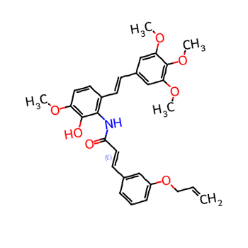 C=CCOc1cccc(/C=C/C(=O)Nc2c(C=Cc3cc(OC)c(OC)c(OC)c3)ccc(OC)c2O)c1